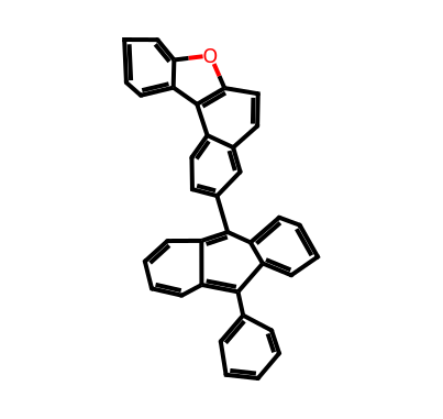 c1ccc(-c2c3ccccc3c(-c3ccc4c(ccc5oc6ccccc6c54)c3)c3ccccc23)cc1